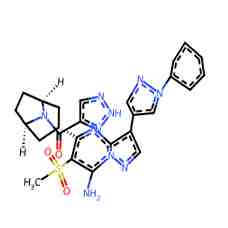 CS(=O)(=O)c1c([C@@H]2C[C@H]3CC[C@@H](C2)N3C(=O)c2cn[nH]n2)nc2c(-c3cnn(-c4ccccc4)c3)cnn2c1N